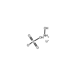 NO.O=S(=O)([O-])O.[Li+]